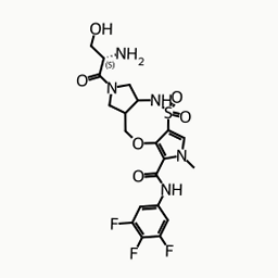 Cn1cc2c(c1C(=O)Nc1cc(F)c(F)c(F)c1)OCC1CN(C(=O)[C@@H](N)CO)CC1NS2(=O)=O